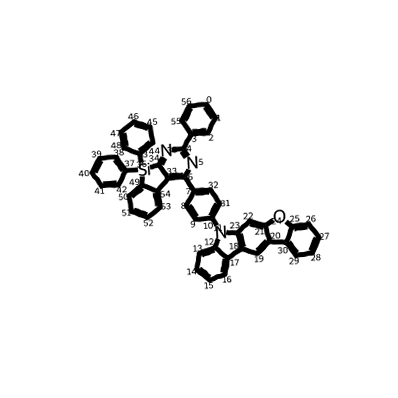 c1ccc(-c2nc(-c3ccc(-n4c5ccccc5c5cc6c(cc54)oc4ccccc46)cc3)c3c(n2)[Si](c2ccccc2)(c2ccccc2)c2ccccc2-3)cc1